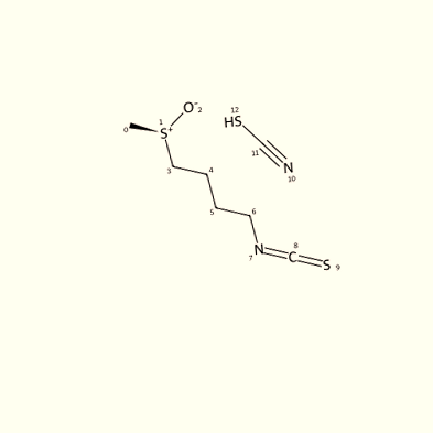 C[S@@+]([O-])CCCCN=C=S.N#CS